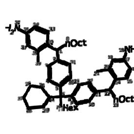 CCCCCCCCC(c1ccc(C(CCCCCC)(c2ccc(C(CCCCCCCC)c3ccc(N)cc3C)cc2)C2CCCCC2)cc1)c1ccc(N)cc1C